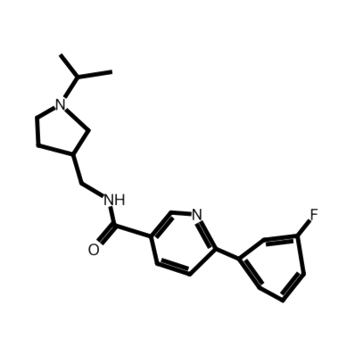 CC(C)N1CCC(CNC(=O)c2ccc(-c3cccc(F)c3)nc2)C1